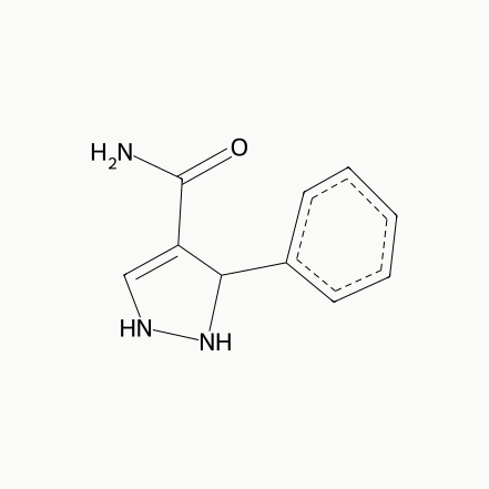 NC(=O)C1=CNNC1c1ccccc1